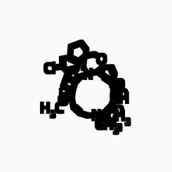 CO[C@@H]1C=CCN(C)C(C)(C)C(=O)NS(=O)(=O)c2ccc3c(c2)N(C[C@@H]2CC[C@H]21)C[C@@]1(CCCc2cc(Cl)ccc21)CO3